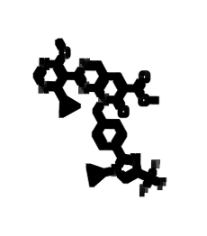 COC(=O)c1cc2cnc(-c3c(OC)ncnc3C3CC3)nc2n(Cc2ccc(-c3nc(C(F)(F)F)cn3C3CC3)cc2)c1=O